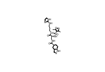 Cc1noc(C)c1S(=O)(=O)NC(CNC(=O)c1ccc2[nH]ncc2c1)C(=O)OCCCNc1ncc[nH]1